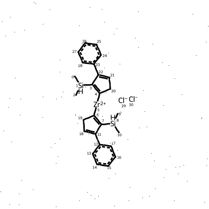 C[SiH](C)C1=[C]([Zr+2][C]2=C([SiH](C)C)C(c3ccccc3)=CC2)CC=C1c1ccccc1.[Cl-].[Cl-]